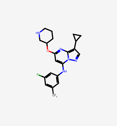 Fc1cc(Nc2cc(OC3CCCNC3)nc3c(C4CC4)cnn23)cc(C(F)(F)F)c1